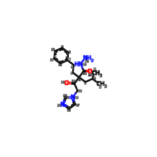 CC(C)CC(CCc1ccccc1)(C(=O)Cn1ccnc1)C(=O)NN